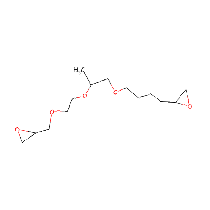 CC(COCCCCC1CO1)OCCOCC1CO1